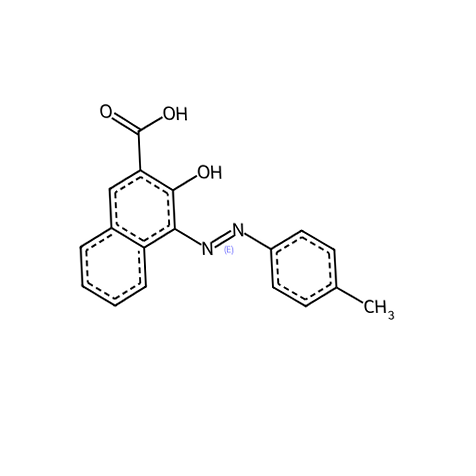 Cc1ccc(/N=N/c2c(O)c(C(=O)O)cc3ccccc23)cc1